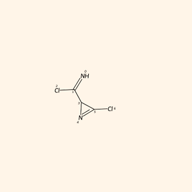 N=C(Cl)C1N=C1Cl